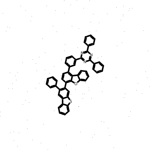 c1ccc(-c2nc(-c3ccccc3)nc(-c3cccc(-c4ccc(-c5cc6sc7ccccc7c6cc5-c5ccccc5)c5oc6ccccc6c45)c3)n2)cc1